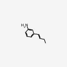 CCC=Cc1cccc(N)c1